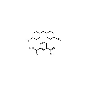 NC(=O)c1cccc(C(N)=O)c1.NC1CCC(CC2CCC(N)CC2)CC1